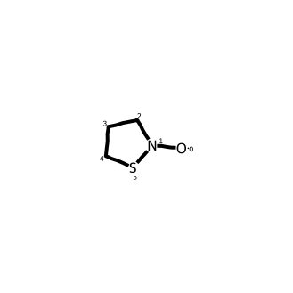 [O]N1CCCS1